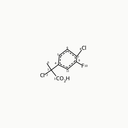 CC(Cl)(C(=O)O)c1ccc(Cl)c(F)c1